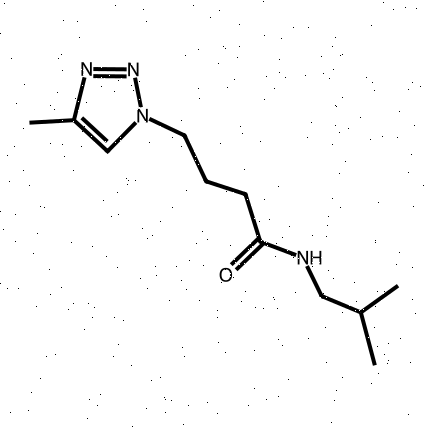 Cc1cn(CCCC(=O)NCC(C)C)nn1